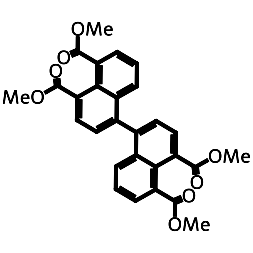 COC(=O)c1cccc2c(-c3ccc(C(=O)OC)c4c(C(=O)OC)cccc34)ccc(C(=O)OC)c12